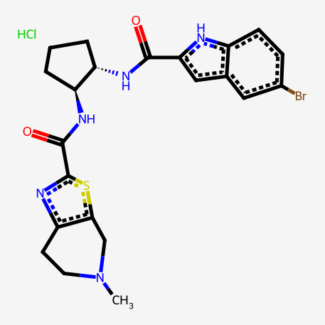 CN1CCc2nc(C(=O)N[C@H]3CCC[C@@H]3NC(=O)c3cc4cc(Br)ccc4[nH]3)sc2C1.Cl